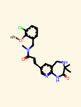 CCCOc1c(Cl)cccc1CN(C)C(=O)C=Cc1cnc2c(c1)CNC(C)(C)C(=O)N2